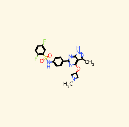 Cc1n[nH]c2nc(-c3ccc(NS(=O)(=O)c4cc(F)ccc4F)cc3)nc(OC3CN(C)C3)c12